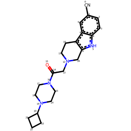 N#Cc1ccc2[nH]c3c(c2c1)CCN(CC(=O)N1CCN(C2CCC2)CC1)C3